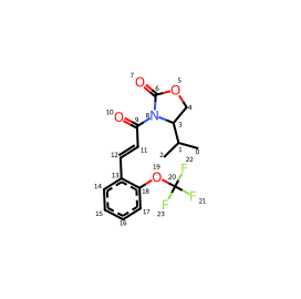 CC(C)C1COC(=O)N1C(=O)C=Cc1ccccc1OC(F)(F)F